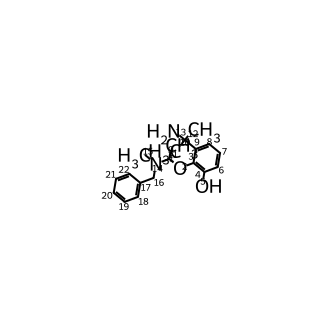 CC(Oc1c(O)cccc1C(C)(C)N)N(C)Cc1ccccc1